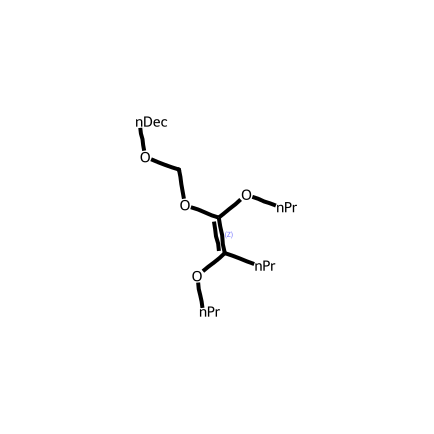 CCCCCCCCCCOCO/C(OCCC)=C(/CCC)OCCC